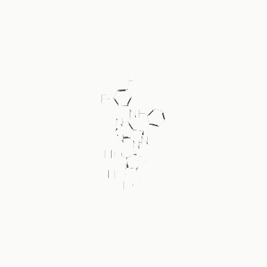 OC[C@H]1O[C@@H](n2nc(-c3ccccc3)c3c(Nc4cc(F)cc(F)c4)ncnc32)[C@@H](O)[C@H]1O